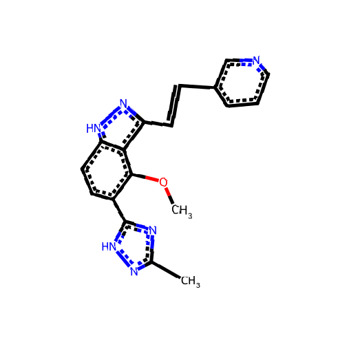 COc1c(-c2nc(C)n[nH]2)ccc2[nH]nc(C=Cc3cccnc3)c12